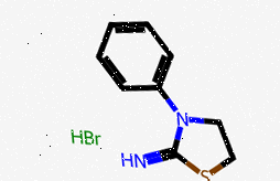 Br.N=C1SCCN1c1ccccc1